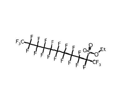 CCOS(=O)(=O)C(F)(C(F)(F)F)C(F)(F)C(F)(F)C(F)(F)C(F)(F)C(F)(F)C(F)(F)C(F)(F)C(F)(F)C(F)(F)F